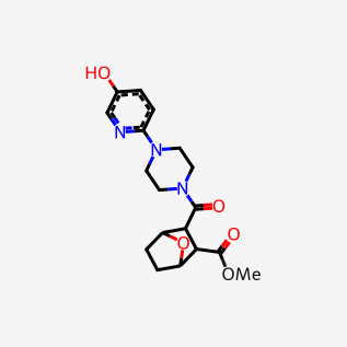 COC(=O)C1C2CCC(O2)C1C(=O)N1CCN(c2ccc(O)cn2)CC1